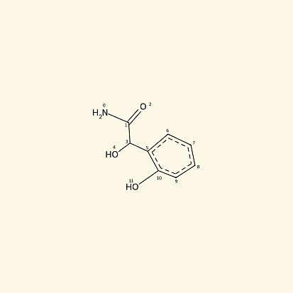 NC(=O)C(O)c1ccccc1O